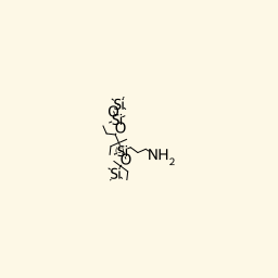 CCC(O[Si](C)(C)O[Si](C)(C)C)C(C)(CC)[Si@](C)(CCCN)OC(C)(CC)[Si](C)(C)C